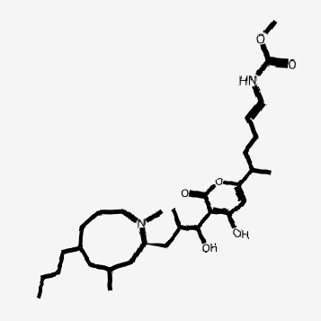 CCCCC1CCCN(C)[C@@H](CC(C)C(O)c2c(O)cc(C(C)CC/C=C/NC(=O)OC)oc2=O)CC(C)C1